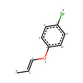 [CH2]C=COc1ccc(Br)cc1